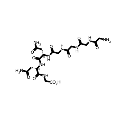 NCC(=O)NCC(=O)NCC(=O)NCC(=O)N[C@@H](CC(N)=O)C(=O)N[C@@H](CC(N)=O)C(=O)NCC(=O)O